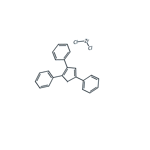 [CH]1C(c2ccccc2)=CC(c2ccccc2)=C1c1ccccc1.[Cl][Zr][Cl]